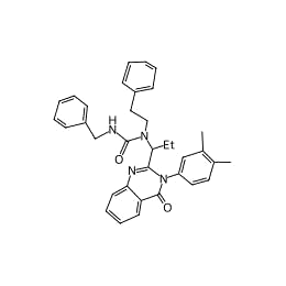 CCC(c1nc2ccccc2c(=O)n1-c1ccc(C)c(C)c1)N(CCc1ccccc1)C(=O)NCc1ccccc1